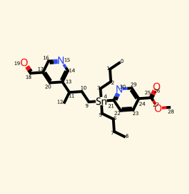 CCC[CH2][Sn]([CH2]CCC)([CH2]CC(C)c1cncc(C=O)c1)[c]1ccc(C(=O)OC)cn1